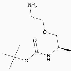 C[C@H](COCCN)NC(=O)OC(C)(C)C